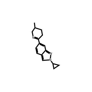 CC1CCC(c2ccc3cn(C4CC4)nc3c2)=NC1